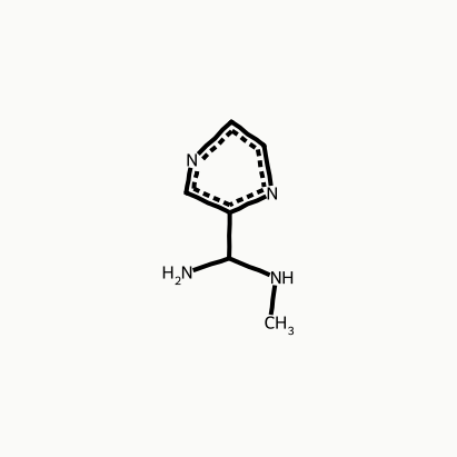 CNC(N)c1cnccn1